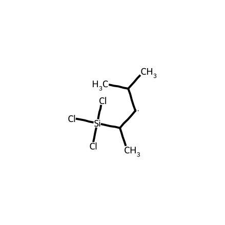 CC(C)[CH]C(C)[Si](Cl)(Cl)Cl